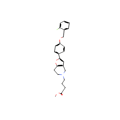 CC(C)(C)OC(=O)CCCN1CCc2oc(-c3ccc(OCc4ccccc4F)cc3)cc2C1